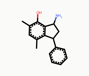 Cc1cc(C)c2c(c1O)C(N)CC2c1ccccc1